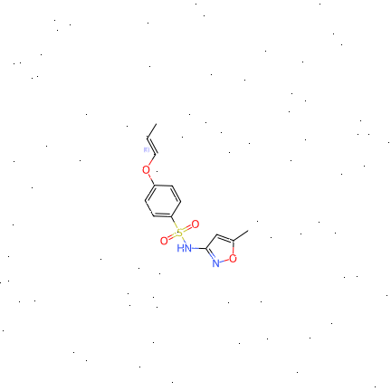 C/C=C/Oc1ccc(S(=O)(=O)Nc2cc(C)on2)cc1